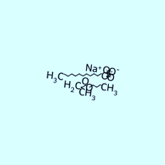 C=C(C)C(=O)OCCCC.CCCCCCCCCCCCOS(=O)(=O)[O-].[Na+]